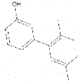 CC(C)=CC(=C(C)C)c1cccc(O)c1